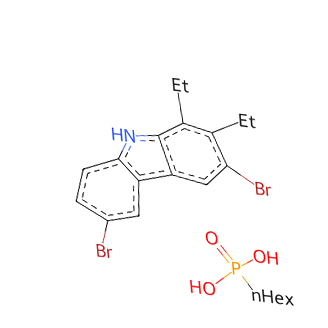 CCCCCCP(=O)(O)O.CCc1c(Br)cc2c([nH]c3ccc(Br)cc32)c1CC